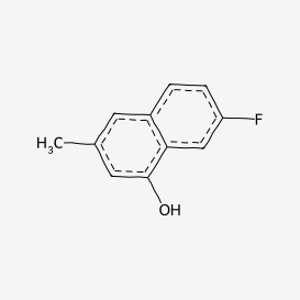 Cc1cc(O)c2cc(F)ccc2c1